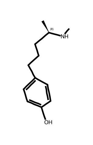 CN[C@H](C)CCCc1ccc(O)cc1